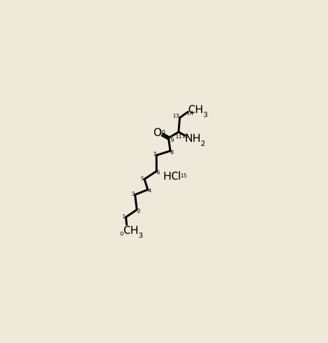 CCCCCCCCCC(=O)C(N)CC.Cl